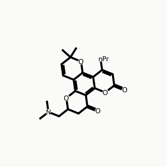 CCCc1cc(=O)oc2c3c(c4c(c12)OC(C)(C)C=C4)OC(CN(C)C)CC3=O